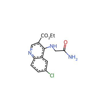 CCOC(=O)c1cnc2ccc(Cl)cc2c1NCC(N)=O